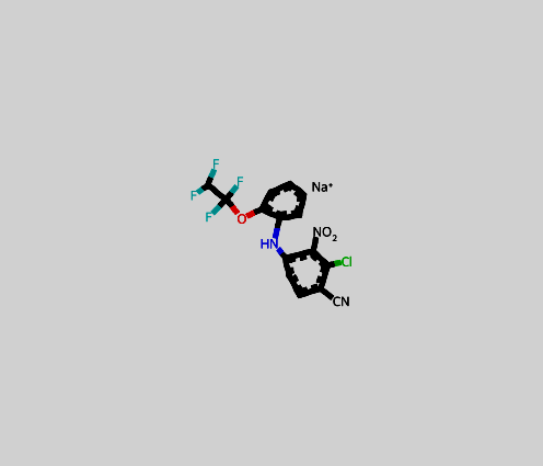 N#Cc1ccc(Nc2ccccc2OC(F)(F)C(F)F)c([N+](=O)[O-])c1Cl.[Na+]